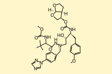 COC(=O)NC(C(=O)NN(Cc1ccc(-n2cncn2)cc1)C[C@H](O)[C@H](Cc1ccc(OC)cc1)NC(=O)O[C@H]1CO[C@H]2OCC[C@H]21)C(C)(C)C